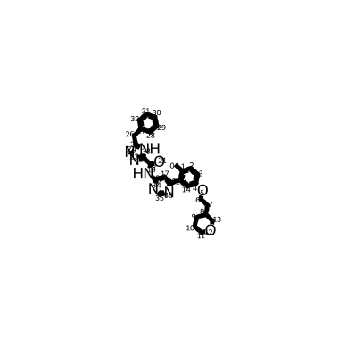 Cc1ccc(OCCC2CCCOC2)cc1-c1cc(NC(=O)c2nnc(Cc3ccccc3)[nH]2)ncn1